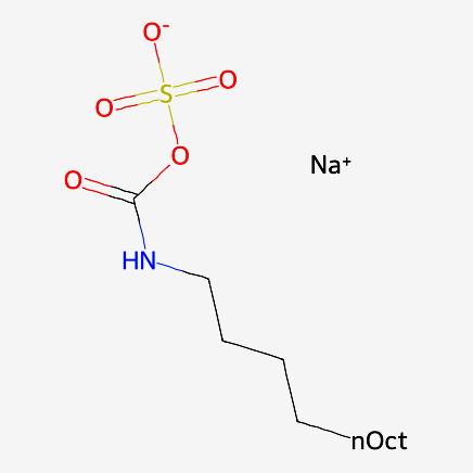 CCCCCCCCCCCCNC(=O)OS(=O)(=O)[O-].[Na+]